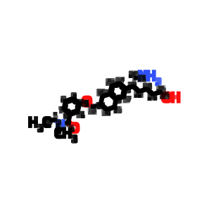 CCN(C)C(=O)c1cccc(OC[C@@H]2CCc3cc([C@H](CN)CCCCO)ccc3C2)c1